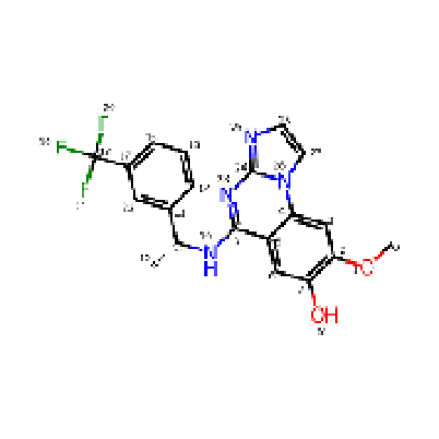 COc1cc2c(cc1O)c(N[C@H](C)c1cccc(C(F)(F)F)c1)nc1nccn12